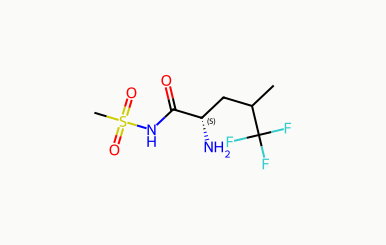 CC(C[C@H](N)C(=O)NS(C)(=O)=O)C(F)(F)F